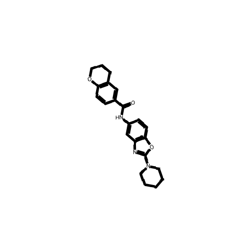 O=C(Nc1ccc2oc(N3CCCCC3)nc2c1)c1ccc2c(c1)CCCO2